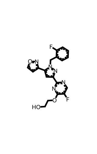 OCCOc1nc(-c2cc(-c3ccon3)n(Cc3ccccc3F)n2)ncc1F